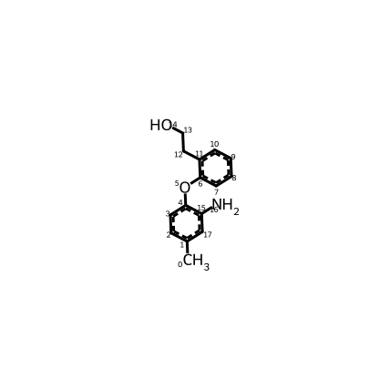 Cc1ccc(Oc2ccccc2CCO)c(N)c1